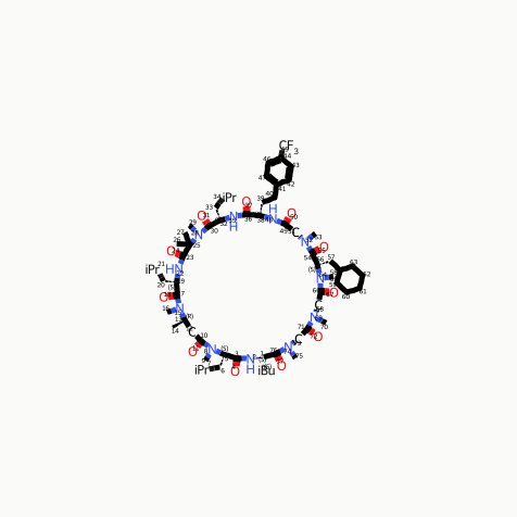 CC[C@H](C)[C@@H]1NC(=O)[C@H](CC(C)C)N(C)C(=O)C[C@@H](C)N(C)C(=O)[C@H](CC(C)C)NC(=O)C(C)(C)N(C)C(=O)[C@H](CC(C)C)NC(=O)[C@H](CCc2ccc(C(F)(F)F)cc2)NC(=O)CN(C)C(=O)[C@H](CC2CCCCC2)N(C)C(=O)CN(C)C(=O)CN(C)C1=O